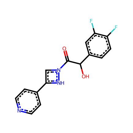 O=C(C(O)c1ccc(F)c(F)c1)n1cc(-c2ccncc2)[nH]1